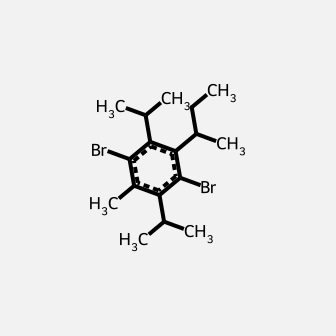 CCC(C)c1c(Br)c(C(C)C)c(C)c(Br)c1C(C)C